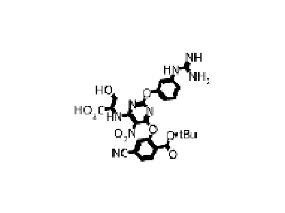 CC(C)(C)OC(=O)c1ccc(C#N)cc1Oc1nc(Oc2cccc(NC(=N)N)c2)nc(NC(CO)C(=O)O)c1[N+](=O)[O-]